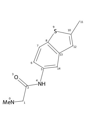 CNCC(=O)Nc1ccc2sc(C)cc2c1